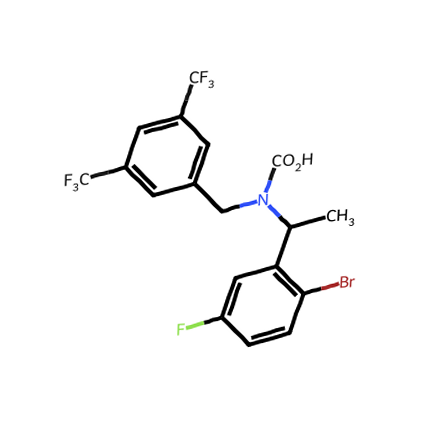 CC(c1cc(F)ccc1Br)N(Cc1cc(C(F)(F)F)cc(C(F)(F)F)c1)C(=O)O